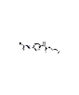 O=C(O)/C=C/c1ccc(NC(=O)CCCBr)nc1